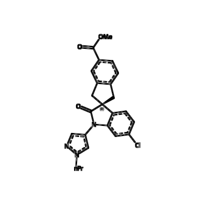 CCCn1cc(N2C(=O)[C@@]3(Cc4ccc(C(=O)OC)cc4C3)c3ccc(Cl)cc32)cn1